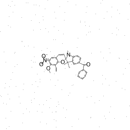 COc1c([N+](=O)[O-])cc2c(c1I)OC1(C=C2)N(C)c2ccc(C(=O)c3ccccc3)cc2C1(C)C